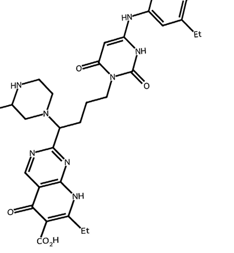 CCc1cc(Nc2cc(=O)n(CCCC(c3ncc4c(=O)c(C(=O)O)c(CC)[nH]c4n3)N3CCNC(C)C3)c(=O)[nH]2)ccc1C